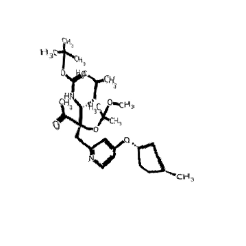 COC(C)(C)O[C@](Cc1cc(O[C@H]2CC[C@H](C)CC2)ccn1)(C(C)=O)[C@@H](CC(C)C)NC(=O)OC(C)(C)C